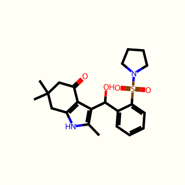 Cc1[nH]c2c(c1C(O)c1ccccc1S(=O)(=O)N1CCCC1)C(=O)CC(C)(C)C2